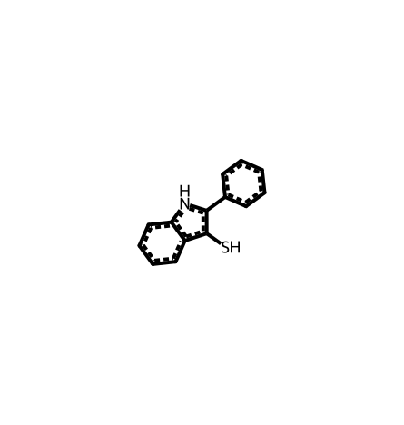 Sc1c(-c2ccccc2)[nH]c2ccccc12